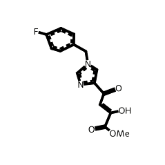 COC(=O)/C(O)=C/C(=O)c1cn(Cc2ccc(F)cc2)cn1